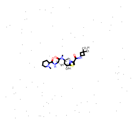 CCC1(C(=O)O)CC(NC(=O)c2csc([C@@H](C[C@H](C(C)C)N(C)C(=O)[C@@H](NC(=O)C3CCCCN3C)C(C)C)OC(C)=O)n2)C1